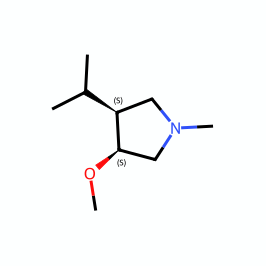 CO[C@@H]1CN(C)C[C@@H]1C(C)C